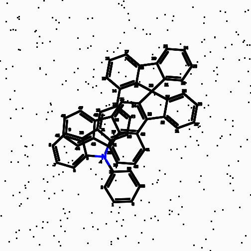 c1ccc(-n2c3ccccc3c3cc(-c4cccc5c4C4(c6ccccc6-5)c5ccccc5-c5c4cc4c6c(cccc56)-c5ccccc5-4)ccc32)cc1